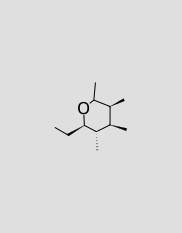 CC[C@H]1OC(C)[C@@H](C)[C@@H](C)[C@@H]1C